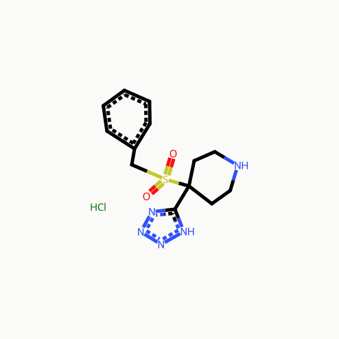 Cl.O=S(=O)(Cc1ccccc1)C1(c2nnn[nH]2)CCNCC1